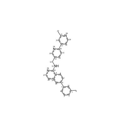 Cc1cccc(-c2ccc3c(NCc4ccc(-c5ccnc(C)c5)nc4)nccc3c2)c1